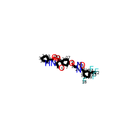 O=C(Nc1coc2cc(OCc3noc(-c4cc(F)cc(C(F)(F)F)c4)n3)ccc2c1=O)c1ccccc1